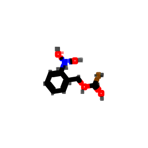 O=C([S])OCc1ccccc1[N+](=O)[O-]